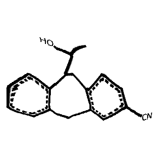 CC(O)C1c2ccccc2Cc2cc(C#N)ccc21